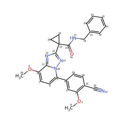 COc1cc(-c2ccc(OC)c3nc(C4(C(=O)NCc5ccccc5)CC4)nn23)ccc1C#N